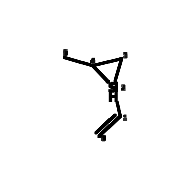 C=C[SiH]1CC1C